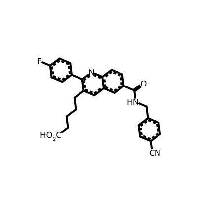 N#Cc1ccc(CNC(=O)c2ccc3nc(-c4ccc(F)cc4)c(CCCCC(=O)O)cc3c2)cc1